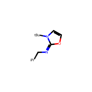 CC(C)C/N=c1/occn1C(C)(C)C